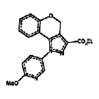 CCOC(=O)c1nn(-c2ccc(OC)nc2)c2c1COc1ccccc1-2